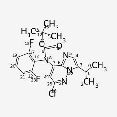 CC(C)c1cnc2c(N(C(=O)OC(C)(C)C)c3c(F)cccc3F)cc(Cl)nn12